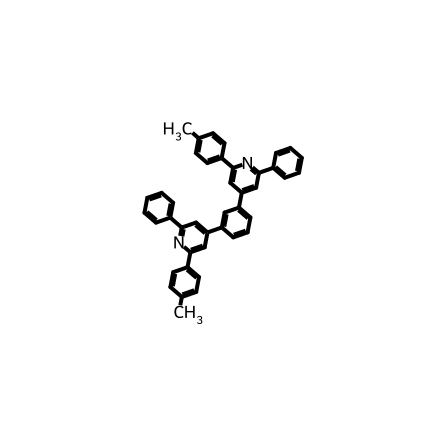 Cc1ccc(-c2cc(-c3cccc(-c4cc(-c5ccccc5)nc(-c5ccc(C)cc5)c4)c3)cc(-c3ccccc3)n2)cc1